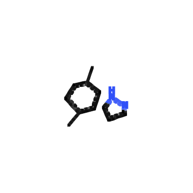 Cc1ccc(C)cc1.c1cn[nH]c1